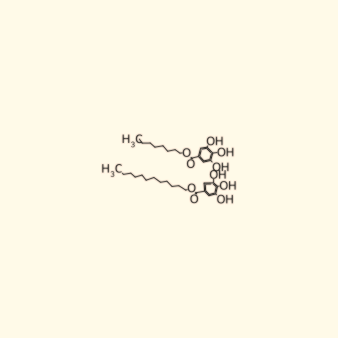 CCCCCCCCCCCCOC(=O)c1cc(O)c(O)c(O)c1.CCCCCCCCOC(=O)c1cc(O)c(O)c(O)c1